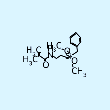 C=C(C)C(=O)NCCC[Si](Cc1ccccc1)(OCC)OCC